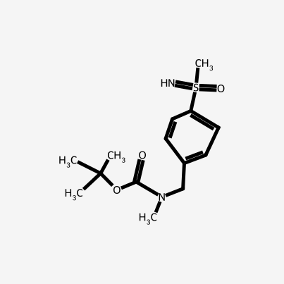 CN(Cc1ccc(S(C)(=N)=O)cc1)C(=O)OC(C)(C)C